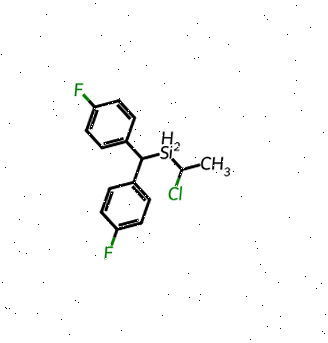 CC(Cl)[SiH2]C(c1ccc(F)cc1)c1ccc(F)cc1